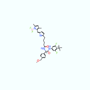 COCc1ccc([C@@H](NC(=O)CCCCC2=NC(=Cc3c(C)cc(C)n3B(F)F)C=C2)C(=O)Nc2cc(F)c([Si](C)(C)C)c(F)c2)cc1